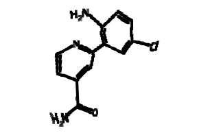 NC(=O)c1ccnc(-c2cc(Cl)ccc2N)c1